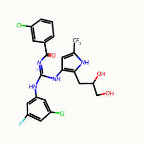 O=C(/N=C(/Nc1cc(F)cc(Cl)c1)Nc1cc(C(F)(F)F)[nH]c1CC(O)CO)c1cccc(Cl)c1